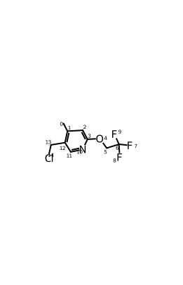 Cc1cc(OCC(F)(F)F)ncc1CCl